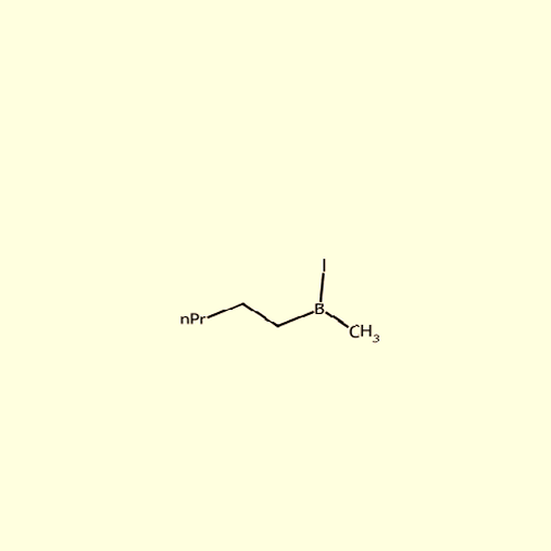 CCCCCB(C)I